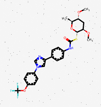 CO[C@@H]1C[C@@H](OC)[C@H](SC(=O)Nc2ccc(-c3cn(-c4ccc(OC(F)(F)F)cc4)cn3)cc2)O[C@H]1C